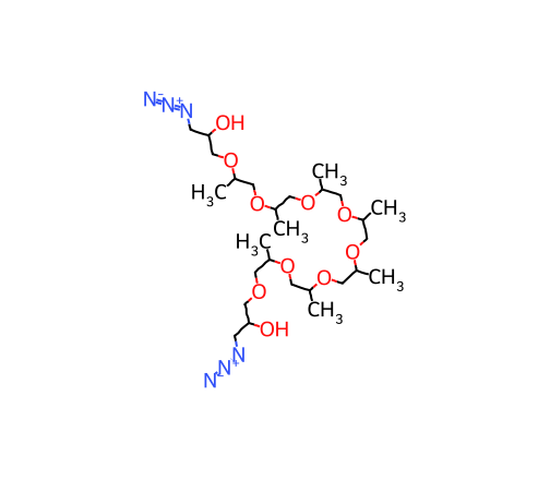 CC(COCC(O)CN=[N+]=[N-])OCC(C)OCC(C)OCC(C)OCC(C)OCC(C)OCC(C)OCC(O)CN=[N+]=[N-]